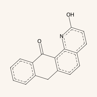 O=C1c2ccccc2Cc2ccc3ccc(O)nc3c21